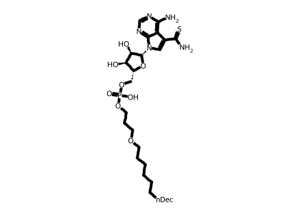 CCCCCCCCCCCCCCCCOCCCOP(=O)(O)OC[C@H]1O[C@@H](n2cc(C(N)=S)c3c(N)ncnc32)[C@H](O)[C@@H]1O